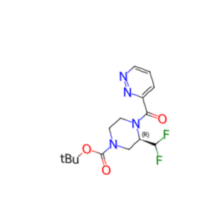 CC(C)(C)OC(=O)N1CCN(C(=O)c2cccnn2)[C@@H](C(F)F)C1